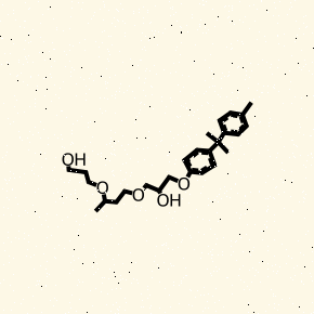 Cc1ccc(C(C)(C)c2ccc(OCC(O)COCCC(C)OCCCO)cc2)cc1